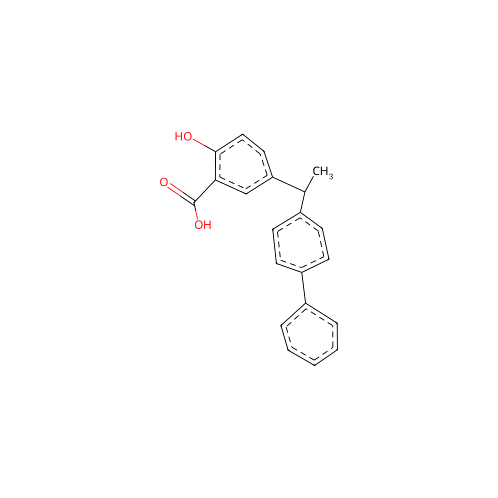 CC(c1ccc(-c2ccccc2)cc1)c1ccc(O)c(C(=O)O)c1